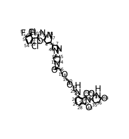 CC(Oc1cc(-c2cnn(C3CCN(C(=O)CCOCCOCCNc4cccc5c4C(=O)N(C4CCC(=O)NC4=O)C5=O)CC3)c2)cnc1N)c1c(Cl)ccc(F)c1Cl